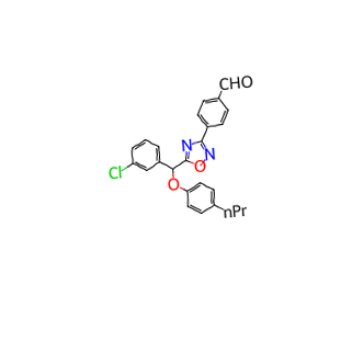 CCCc1ccc(OC(c2cccc(Cl)c2)c2nc(-c3ccc(C=O)cc3)no2)cc1